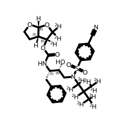 [2H]C([2H])([2H])C([2H])(C([2H])([2H])[2H])C([2H])([2H])N(C[C@@H](O)[C@H](Cc1ccccc1)NC(=O)O[C@]1([2H])[C@@H]2CCO[C@@H]2OC1([2H])[2H])S(=O)(=O)c1ccc(C#N)cc1